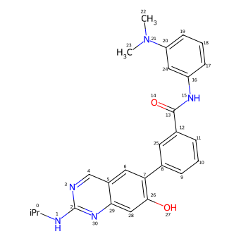 CC(C)Nc1ncc2cc(-c3cccc(C(=O)Nc4cccc(N(C)C)c4)c3)c(O)cc2n1